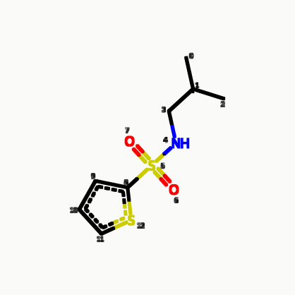 C[C](C)CNS(=O)(=O)c1cccs1